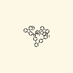 CC1(C)c2ccccc2-c2cccc(-c3ccc(N(c4ccc(-c5ccccc5-c5ccc(-c6ccccc6)cc5)cc4)c4ccc5c(c4)C4(c6ccccc6-5)C5CC6CC(C5)CC4C6)cc3)c21